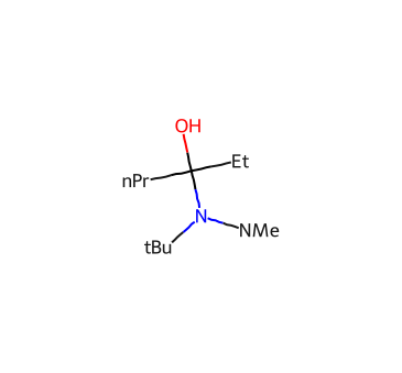 CCCC(O)(CC)N(NC)C(C)(C)C